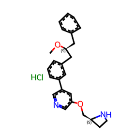 CO[C@@H](Cc1ccccc1)Cc1cccc(-c2cncc(OC[C@@H]3CCN3)c2)c1.Cl